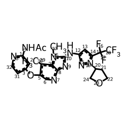 CC(=O)Nc1cc(Oc2cnc3nc(Nc4cc(C(F)(F)C(F)(F)F)n(C5CCOC5)n4)n(C)c3c2C)ccn1